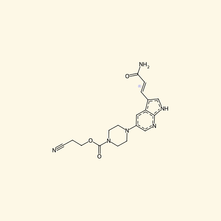 N#CCCOC(=O)N1CCN(c2cnc3[nH]cc(/C=C/C(N)=O)c3c2)CC1